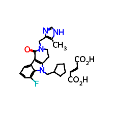 Cc1[nH]cnc1CN1CCc2c(c3cccc(F)c3n2CC2CCCC2)C1=O.O=C(O)C=CC(=O)O